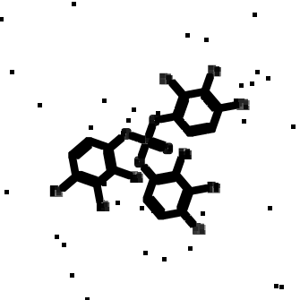 CCc1ccc(OP(=O)(Oc2ccc(CC)c(CC)c2CC)Oc2ccc(CC)c(CC)c2CC)c(CC)c1CC